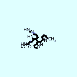 CCNC(=O)/C=C/c1[nH]/c(=N\C=N)ccc1-c1c(-c2cccc(C)n2)nn2c1CCC2